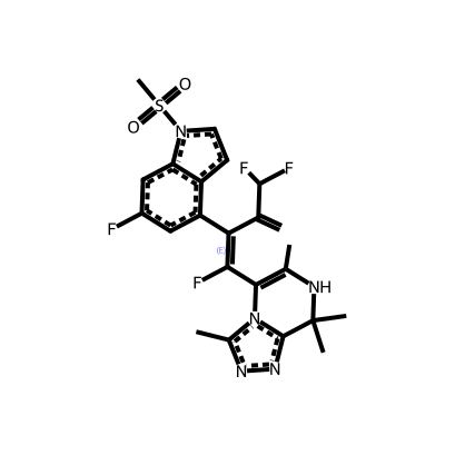 C=C(/C(=C(/F)C1=C(C)NC(C)(C)c2nnc(C)n21)c1cc(F)cc2c1ccn2S(C)(=O)=O)C(F)F